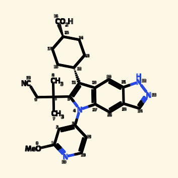 COc1cc(-n2c(C(C)(C)CC#N)c([C@H]3CC[C@H](C(=O)O)CC3)c3cc4[nH]ncc4cc32)ccn1